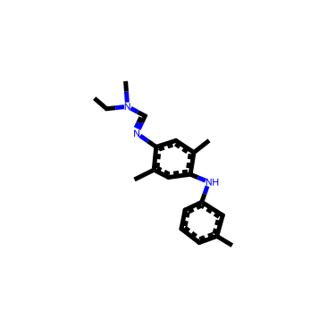 CCN(C)C=Nc1cc(C)c(Nc2cccc(C)c2)cc1C